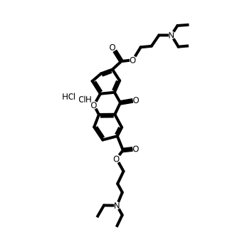 CCN(CC)CCCOC(=O)c1ccc2oc3ccc(C(=O)OCCCN(CC)CC)cc3c(=O)c2c1.Cl.Cl